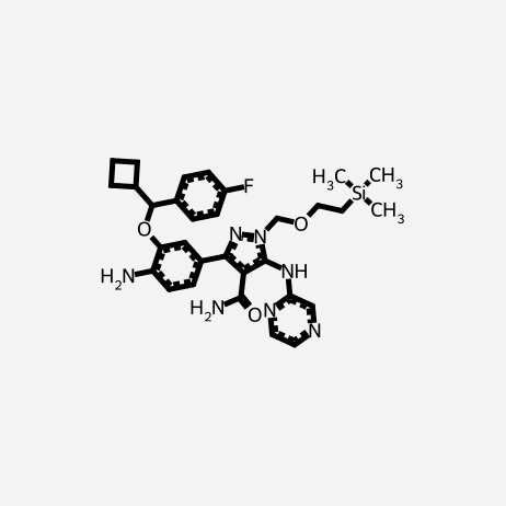 C[Si](C)(C)CCOCn1nc(-c2ccc(N)c(OC(c3ccc(F)cc3)C3CCC3)c2)c(C(N)=O)c1Nc1cnccn1